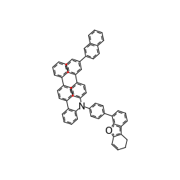 C1=Cc2oc3c(-c4ccc(N(c5ccc(-c6cccc(-c7ccc8ccccc8c7)c6)cc5)c5ccccc5-c5ccc(-c6ccccc6)cc5)cc4)cccc3c2CC1